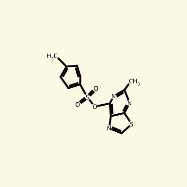 Cc1ccc(S(=O)(=O)Oc2nc(C)nc3scnc23)cc1